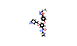 Cc1nnc(-c2ccc(Oc3cc(OCC4CCCNC4)cc(C(=O)Nc4nccs4)c3)cc2)o1